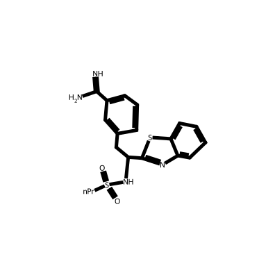 CCCS(=O)(=O)NC(Cc1cccc(C(=N)N)c1)c1nc2ccccc2s1